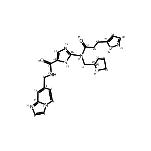 O=C(NCc1ccn2ccnc2c1)c1cnc(N(C[C@H]2CCCO2)C(=O)CCc2ccno2)s1